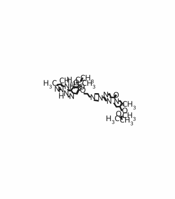 Cc1n[nH]c(Nc2ncnc3cc(OCCCN4CCN(c5cnc(C(=O)N6CCC(C(=O)OC(C)(C)C)[C@H](C)C6)cn5)CC4)c(S(=O)(=O)C(C)(C)C)cc23)c1C